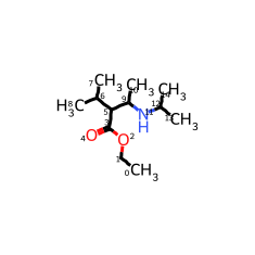 CCOC(=O)C(C(C)C)C(C)NC(C)C